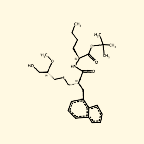 CCCC[C@H](NC(=O)[C@@H](CSC[C@H](CO)OC)Cc1cccc2ccccc12)C(=O)OC(C)(C)C